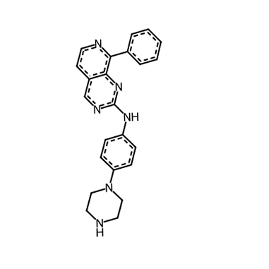 c1ccc(-c2nccc3cnc(Nc4ccc(N5CCNCC5)cc4)nc23)cc1